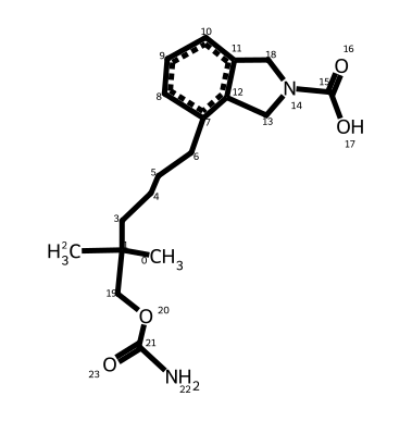 CC(C)(CCCCc1cccc2c1CN(C(=O)O)C2)COC(N)=O